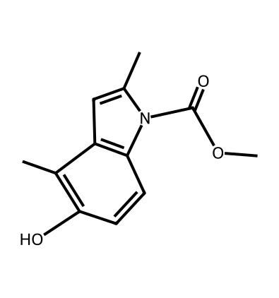 COC(=O)n1c(C)cc2c(C)c(O)ccc21